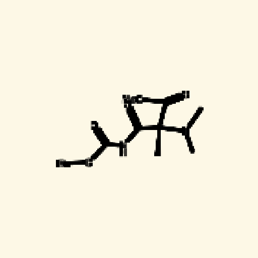 COC(=O)[C@@](C)(C(=O)NC(=O)OC(C)(C)C)N(C)C